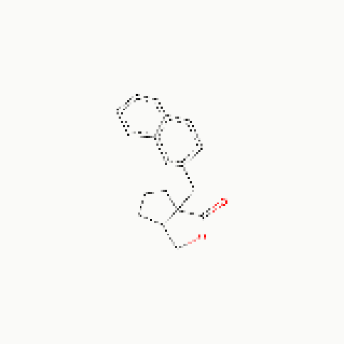 O=C1OCC2CCCC12Cc1ccc2ccccc2c1